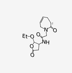 CCOC1OC(=O)CC1NC(=O)CN1CC=CC[C]C1=O